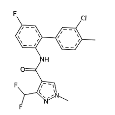 Cc1ccc(-c2cc(F)ccc2NC(=O)c2cn(C)nc2C(F)F)cc1Cl